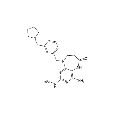 CCCCNc1nc(N)c2c(n1)N(Cc1cccc(CN3CCCC3)c1)CCC(=O)N2